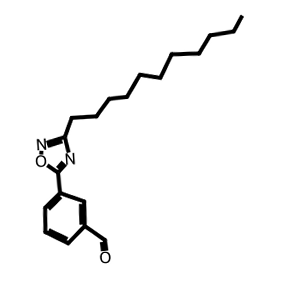 CCCCCCCCCCCc1noc(-c2cccc(C=O)c2)n1